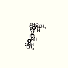 CNC(=O)c1cc(COc2cnc(Nc3cccc(NC(C)=O)c3)nc2)c(F)c(OC)c1